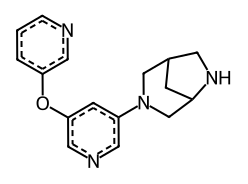 c1cncc(Oc2cncc(N3CC4CNC(C4)C3)c2)c1